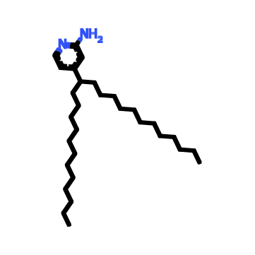 CCCCCCCCCCCCC(CCCCCCCCCCCC)c1ccnc(N)c1